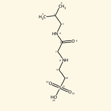 CC(C)CNC(=O)CNCCS(=O)(=O)O